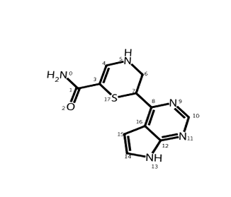 NC(=O)C1=CNCC(c2ncnc3[nH]ccc23)S1